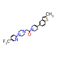 Cc1cc2cc(C3=CCN(C(=O)CN4CCN(c5ccc(C(F)(F)F)cn5)CC4)CC3)ccc2s1